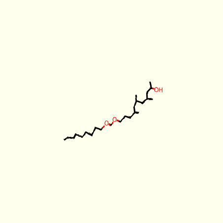 CCCCCCCCCOCOCCCC(C)CC(C)CC(C)CC(C)O